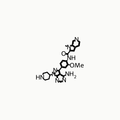 COc1cc(-c2nn(C3CCNCC3)c3ncnc(N)c23)ccc1NC(=O)c1cc2ccncc2n1C